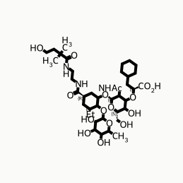 CC[C@@H]1C[C@@H](C(=O)NCCNC(=O)C(C)(C)CCO)CC(O[C@@H]2O[C@@H](CO)C(O)C(O[C@@H](CC3CCCCC3)C(=O)O)C2NC(C)=O)C1OC1OC(C)C(O)C(O)C1O